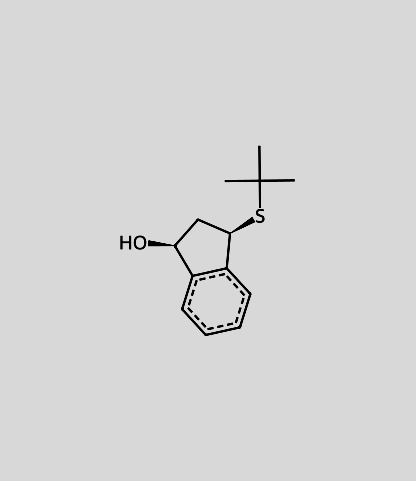 CC(C)(C)S[C@@H]1C[C@H](O)c2ccccc21